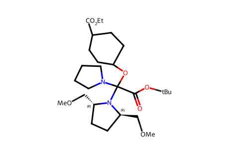 CCOC(=O)C1CCC(OC(C(=O)OC(C)(C)C)(N2CCCC2)N2[C@@H](COC)CC[C@@H]2COC)CC1